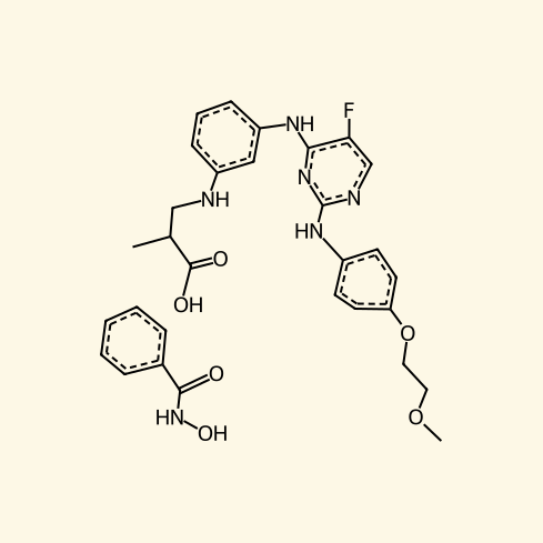 COCCOc1ccc(Nc2ncc(F)c(Nc3cccc(NCC(C)C(=O)O)c3)n2)cc1.O=C(NO)c1ccccc1